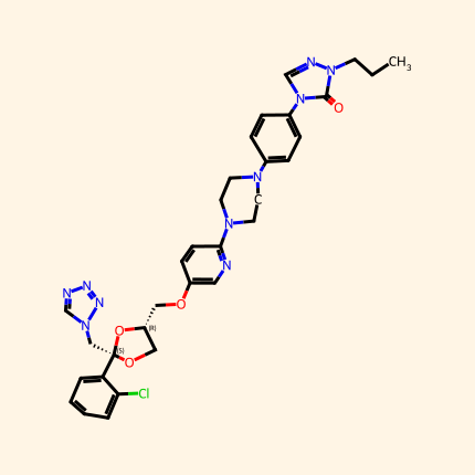 CCCn1ncn(-c2ccc(N3CCN(c4ccc(OC[C@@H]5CO[C@@](Cn6cnnn6)(c6ccccc6Cl)O5)cn4)CC3)cc2)c1=O